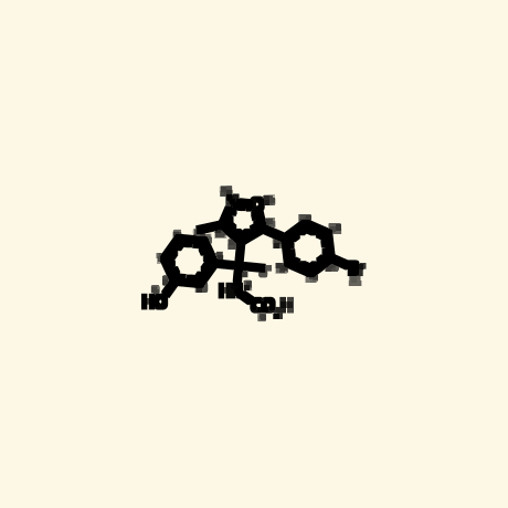 [CH2]C(NC(=O)O)(c1cccc(O)c1)c1c(C)noc1-c1ccc(Br)cc1